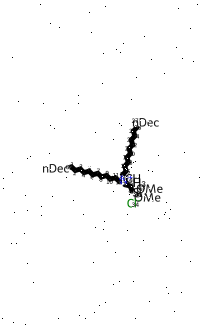 CCCCCCCCCCCCCCCCCCCCCC[N+](C)(CCCCCCCCCCCCCCCCCCCCCC)CCC[SiH](OC)OC.[Cl-]